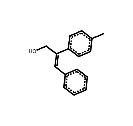 Cc1ccc(/C(=C\c2ccccc2)CO)cc1